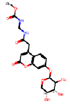 CC(C)(C)OC(=O)NCNC(=O)Cc1cc(=O)oc2cc(OC3OC[C@@H](O)[C@@H](O)C3O)ccc12